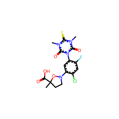 Cn1c(=S)n(C)c(=O)n(-c2cc(N3CCC(C)(C(=O)O)O3)c(Cl)cc2F)c1=O